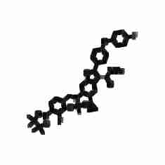 CNC(=O)c1c(-c2ccc(Oc3ccc(F)cc3)cc2)oc2cc(N(Cc3ccc(B4OC(C)(C)C(C)(C)O4)c(F)c3)S(C)(=O)=O)c(C3CC3)cc12